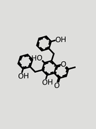 Cc1cc(=O)c2c(O)c(Cc3ccccc3O)c(O)c(Cc3ccccc3O)c2o1